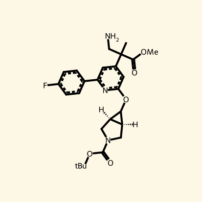 COC(=O)C(C)(CN)c1cc(OC2[C@H]3CN(C(=O)OC(C)(C)C)C[C@@H]23)nc(-c2ccc(F)cc2)c1